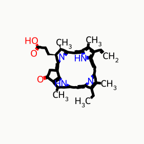 C=Cc1c(C)/c2[nH]/c1=C\C1=NC(=C\C3NC4=C(C(=O)C/C4=C4N=C(/C=2)[C@@H](C)[C@@H]/4CCC(=O)O)C3C)/C(CC)=C1C